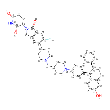 O=C1CCC(N2Cc3cc(C4CCN(CC5CCN(c6ccc([C@@H]7c8ccc(O)cc8CC[C@@H]7c7ccccc7)cc6)CC5)CC4)c(F)cc3C2=O)C(=O)N1